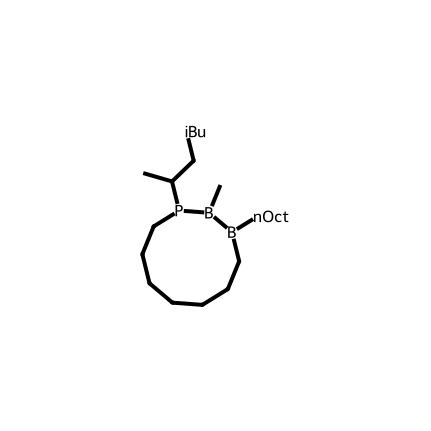 CCCCCCCCB1CCCCCCCP(C(C)CC(C)CC)B1C